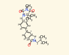 CC(C)CN1Cc2cc(-c3ccc(CN4C(=O)N(C)C(=O)C4(C)C)cc3)ccc2C1=O